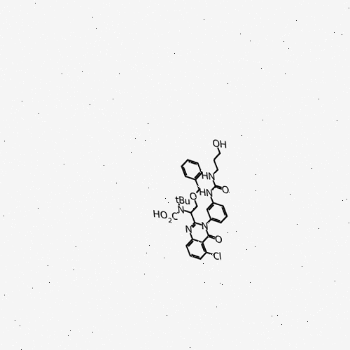 CC(C)(C)N(C(=O)O)C(COCc1ccccc1)c1nc2cccc(Cl)c2c(=O)n1-c1cccc(NC(=O)NCCCO)c1